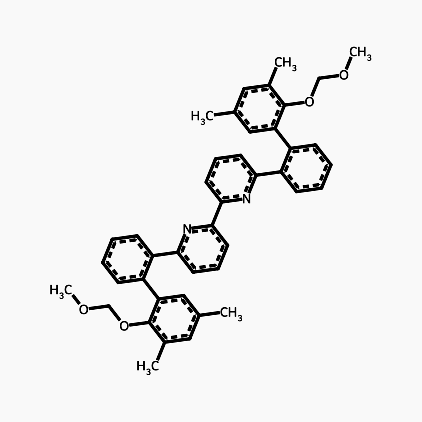 COCOc1c(C)cc(C)cc1-c1ccccc1-c1cccc(-c2cccc(-c3ccccc3-c3cc(C)cc(C)c3OCOC)n2)n1